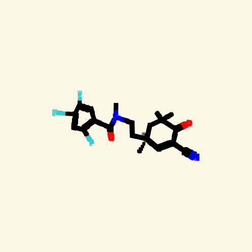 CN(CC[C@]1(C)C=C(C#N)C(=O)C(C)(C)C1)C(=O)c1cc(F)c(F)cc1F